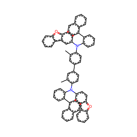 Cc1cc(-c2ccc(N(c3ccc4oc5ccccc5c4c3)c3ccccc3-c3cccc4ccccc34)c(C)c2)ccc1N(c1ccc2oc3ccccc3c2c1)c1ccccc1-c1cccc2ccccc12